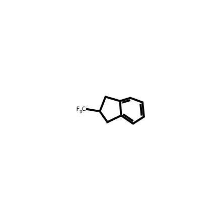 FC(F)(F)C1[C]c2ccccc2C1